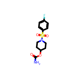 NC(=O)OC1CCN(S(=O)(=O)c2ccc(F)cc2)CC1